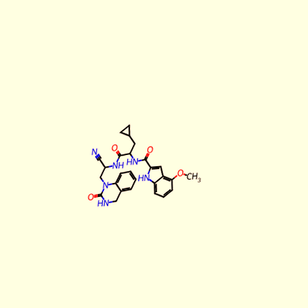 COc1cccc2[nH]c(C(=O)NC(CC3CC3)C(=O)NC(C#N)CN3C(=O)NCc4ccccc43)cc12